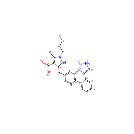 CCCCN1NC(Cc2ccc(-c3ccccc3-c3nn[nH]n3)cc2)C(C(=O)O)=C1C